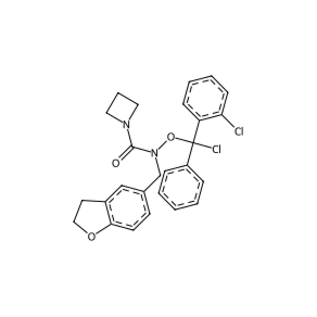 O=C(N1CCC1)N(Cc1ccc2c(c1)CCO2)OC(Cl)(c1ccccc1)c1ccccc1Cl